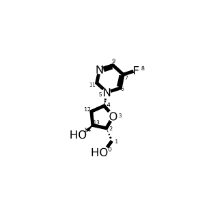 OC[C@H]1O[C@@H](N2C=C(F)C=NC2)C[C@@H]1O